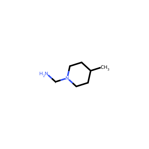 CC1CCN([CH]N)CC1